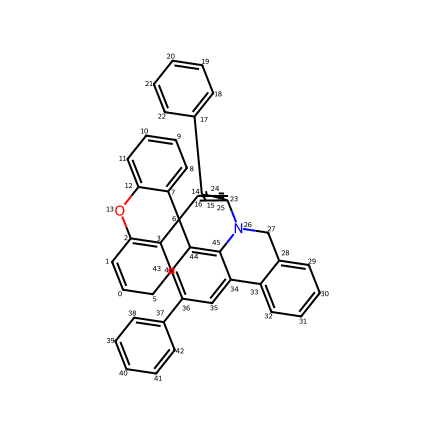 C1=CC2=C(CC1)C1(c3ccccc3O2)c2cc(-c3ccccc3)ccc2N2Cc3ccccc3-c3cc(-c4ccccc4)cc1c32